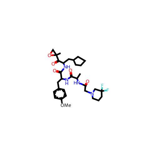 COc1ccc(CC(NC(=O)C(C)NC(=O)CN2CCCC(F)(F)C2)C(=O)NC(CC2CCCC2)C(=O)C2(C)CO2)cc1